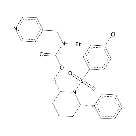 CCN(Cc1ccncc1)C(=O)OC[C@H]1CCC[C@@H](c2ccccc2)N1S(=O)(=O)c1ccc(Cl)cc1